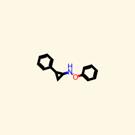 c1ccc(ONC2CC2c2ccccc2)cc1